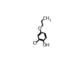 CCCOc1ccc(O)c(Cl)c1